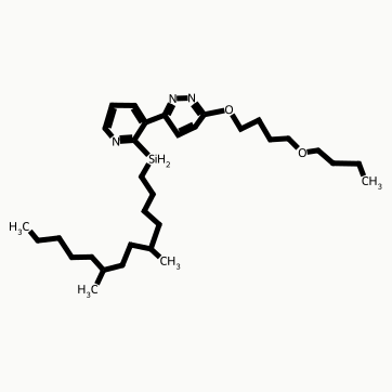 CCCCCC(C)CCC(C)CCCC[SiH2]c1ncccc1-c1ccc(OCCCCOCCCC)nn1